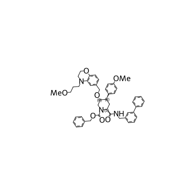 COCCCN1CCOc2ccc(CO[C@H]3CN(C(=O)OCc4ccccc4)[C@H](C(=O)NCc4cccc(-c5ccccc5)c4)C[C@@H]3c3ccc(OC)cc3)cc21